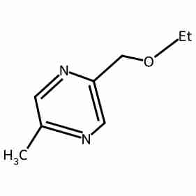 CCOCc1cnc(C)cn1